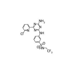 Nc1nc(Nc2cccc(S(=O)(=O)NCC(F)(F)F)c2)nc(-c2cccc(Cl)n2)n1